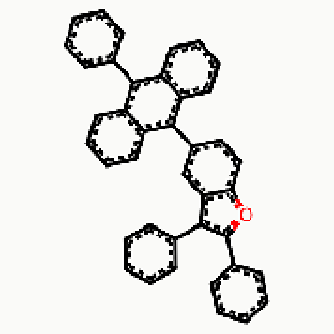 c1ccc(-c2oc3ccc(-c4c5ccccc5c(-c5ccccc5)c5ccccc45)cc3c2-c2ccccc2)cc1